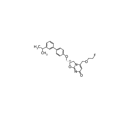 CC(C)c1cccc(-c2ccc(OC[C@@H]3Cn4c(COCCF)cc(=O)nc4O3)cc2)c1